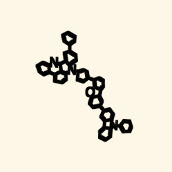 c1ccc(-c2ccc3c(c2)-c2nc4ccccc4c4cccc(c24)N3c2ccc(-c3cccc4c3oc3ccc(-c5ccc6c(c5)c5ccccc5n6-c5ccccc5)cc34)cc2)cc1